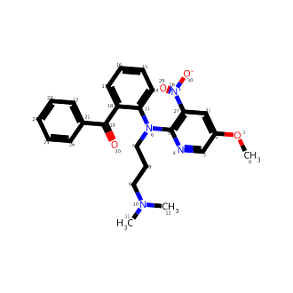 COc1cnc(N(CCCN(C)C)c2ccccc2C(=O)c2ccccc2)c([N+](=O)[O-])c1